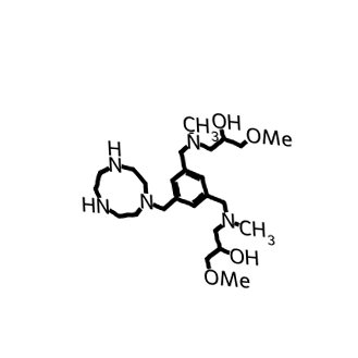 COCC(O)CN(C)Cc1cc(CN(C)CC(O)COC)cc(CN2CCNCCNCC2)c1